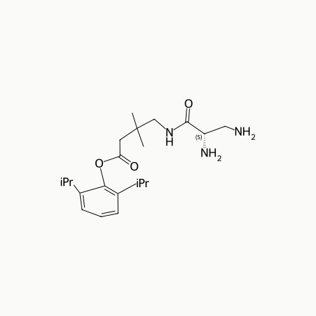 CC(C)c1cccc(C(C)C)c1OC(=O)CC(C)(C)CNC(=O)[C@@H](N)CN